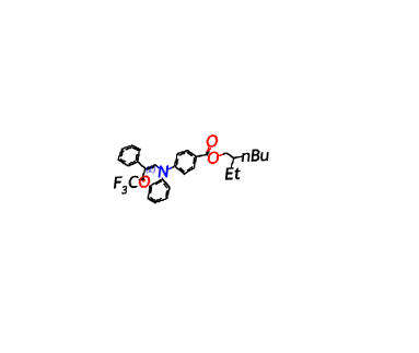 CCCCC(CC)COC(=O)c1ccc(N(/C=C(\C(=O)C(F)(F)F)c2ccccc2)c2ccccc2)cc1